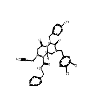 C#CCN1CC(=O)N2[C@@H](Cc3ccc(O)cc3)C(=O)N(Cc3ccc(Cl)c(Cl)c3)C[C@@H]2N1C(=O)NCc1ccccc1